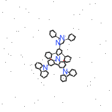 c1ccc(-c2cc(-c3cc(-c4ccccc4)c(-n4c5ccc(-n6c7ccccc7c7ccccc76)cc5c5cc(-n6c7ccccc7c7ccccc76)ccc54)c(-c4ccccc4)c3)nc(-c3ccccc3)n2)cc1